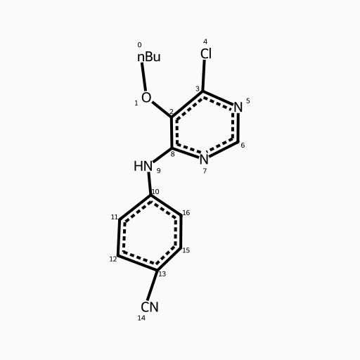 CCCCOc1c(Cl)ncnc1Nc1ccc(C#N)cc1